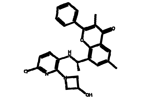 Cc1cc([C@@H](C)Nc2ccc(Cl)nc2N2CC(O)C2)c2oc(-c3ccccc3)c(C)c(=O)c2c1